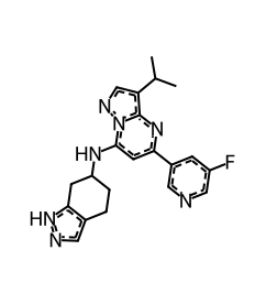 CC(C)c1cnn2c(NC3CCc4cn[nH]c4C3)cc(-c3cncc(F)c3)nc12